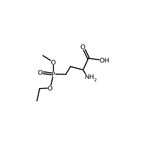 CCOP(=O)(CCC(N)C(=O)O)OC